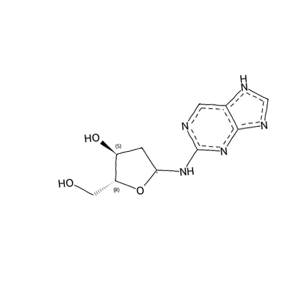 OC[C@H]1O[C](Nc2ncc3[nH]cnc3n2)C[C@@H]1O